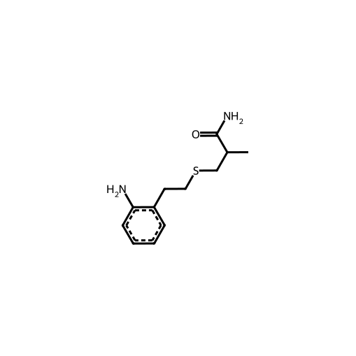 CC(CSCCc1ccccc1N)C(N)=O